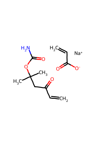 C=CC(=O)CC(C)(C)OC(N)=O.C=CC(=O)[O-].[Na+]